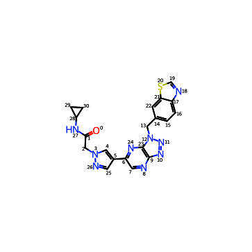 O=C(Cn1cc(-c2cnc3nnn(Cc4ccc5ncsc5c4)c3n2)cn1)NC1CC1